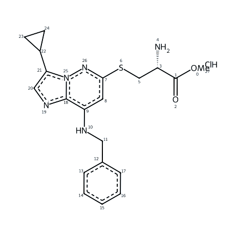 COC(=O)[C@@H](N)CSc1cc(NCc2ccccc2)c2ncc(C3CC3)n2n1.Cl